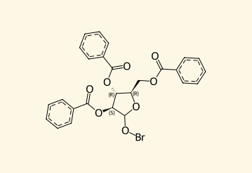 O=C(OC[C@H]1OC(OBr)[C@@H](OC(=O)c2ccccc2)[C@@H]1OC(=O)c1ccccc1)c1ccccc1